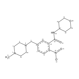 CN1CCN(Cc2ccc([N+](=O)[O-])c(C(=O)NC3CCOCC3)c2)CC1